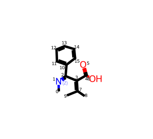 C/N=C(\C(C(=O)O)=C(C)C)c1ccccc1